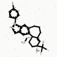 CC[C@@]12CC[C@](O)(C(F)(F)F)C=C1CCCc1cc3c(cnn3-c3ccc(F)cc3)cc12